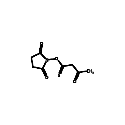 CC(=O)CC(=S)ON1C(=O)CCC1=O